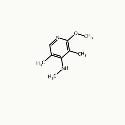 CNc1c(C)cnc(OC)c1C